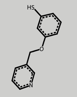 Sc1cccc(OCc2cccnc2)c1